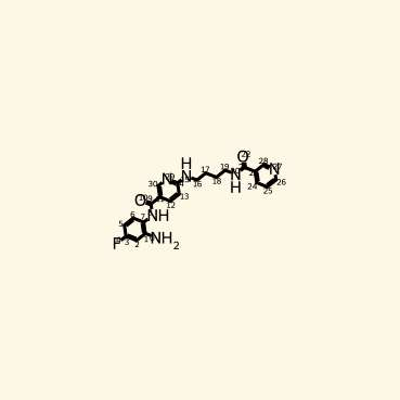 Nc1cc(F)ccc1NC(=O)c1ccc(NCCCCNC(=O)c2cccnc2)nc1